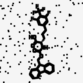 O=C(N[C@@H](CCCc1cc(F)c(C(F)(F)F)c(F)c1)C(=O)O)OCC1c2ccccc2-c2ccccc21